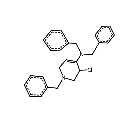 ClC1CN(Cc2ccccc2)CC=C1N(Cc1ccccc1)Cc1ccccc1